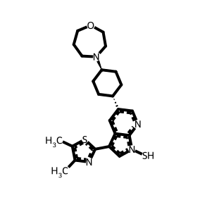 Cc1nc(-c2cn(S)c3ncc([C@H]4CC[C@H](N5CCCOCC5)CC4)cc23)sc1C